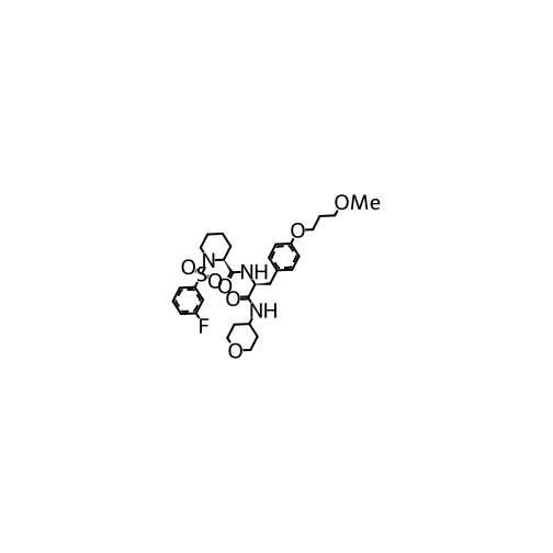 COCCCOc1ccc(C[C@H](NC(=O)[C@@H]2CCCCN2S(=O)(=O)c2cccc(F)c2)C(=O)NC2CCOCC2)cc1